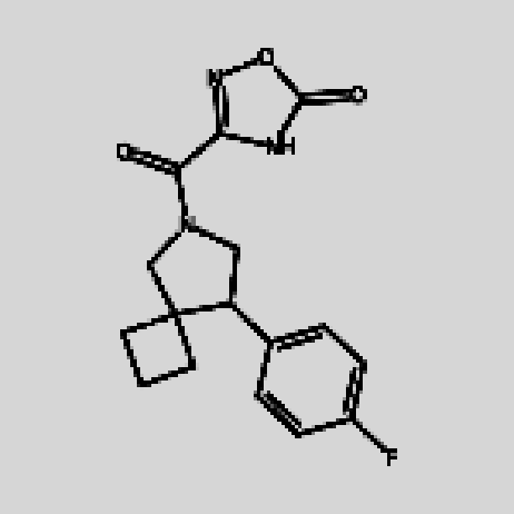 O=C(c1noc(=O)[nH]1)N1CC(c2ccc(F)cc2)C2(CCC2)C1